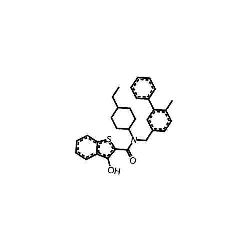 CCC1CCC(N(Cc2ccc(C)c(-c3ccccc3)c2)C(=O)c2sc3ccccc3c2O)CC1